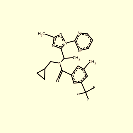 Cc1cc(C(=O)N(CC2CC2)C(C)c2nc(C)nn2-c2ncccn2)cc(C(F)(F)F)c1